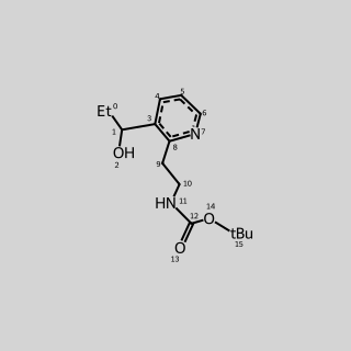 CCC(O)c1cccnc1CCNC(=O)OC(C)(C)C